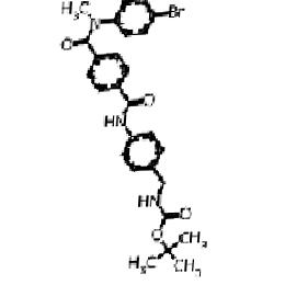 CN(C(=O)c1ccc(C(=O)Nc2ccc(CNC(=O)OC(C)(C)C)cc2)cc1)c1ccc(Br)cc1